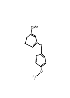 COC1=CC(Sc2ccc(OC(F)(F)F)cc2)=C[CH]C1